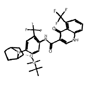 CC(C)(C)[Si](C)(C)O[C@H]1CC2CCC1N2c1ccc(NC(=O)c2c[nH]c3cccc(C(F)(F)F)c3c2=O)c(C(F)(F)F)c1